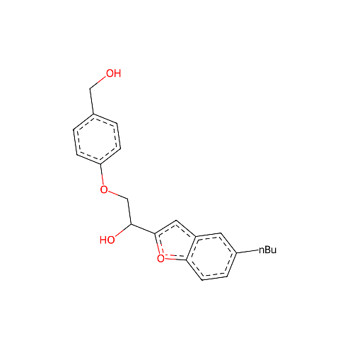 CCCCc1ccc2oc(C(O)COc3ccc(CO)cc3)cc2c1